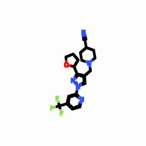 N#CC1CCN(Cc2cn(-c3cc(C(F)(F)F)ccn3)nc2C2CCCO2)CC1